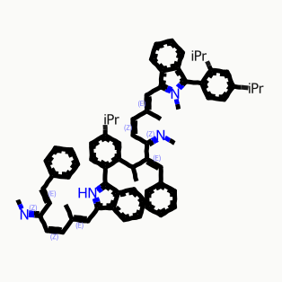 C/N=C(/C=C\C(C)=C\c1[nH]c(-c2ccc(C(C)C)cc2C(C)C(=C\c2ccccc2)/C(/C=C\C(C)=C\c2c3ccccc3c(-c3ccc(C(C)C)cc3C(C)C)n2C)=N\C)c2ccccc12)\C=C\c1ccccc1